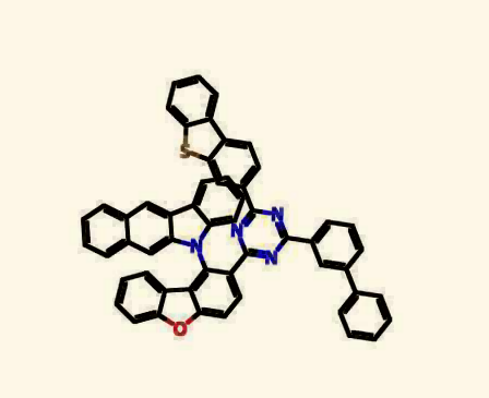 c1ccc(-c2cccc(-c3nc(-c4ccc5c(c4)sc4ccccc45)nc(-c4ccc5oc6ccccc6c5c4-n4c5ccccc5c5cc6ccccc6cc54)n3)c2)cc1